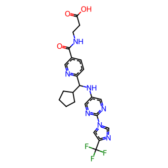 O=C(O)CCNC(=O)c1ccc(C(Nc2cnc(-n3cnc(C(F)(F)F)c3)nc2)C2CCCC2)nc1